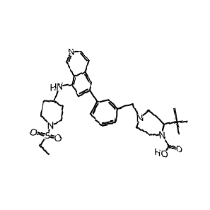 CCS(=O)(=O)N1CCC(Nc2cc(-c3cccc(CN4CCN(C(=O)O)C(C(C)(C)C)C4)c3)cc3ccncc23)CC1